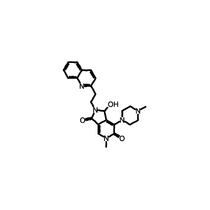 CN1CCN(c2c3c(cn(C)c2=O)C(=O)N(CCc2ccc4ccccc4n2)C3O)CC1